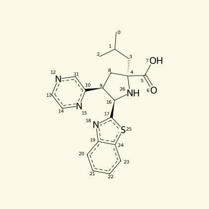 CC(C)C[C@@]1(C(=O)O)C[C@H](c2cnccn2)[C@H](c2nc3ccccc3s2)N1